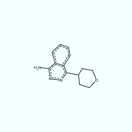 Nc1nnc(C2CCOCC2)c2ccccc12